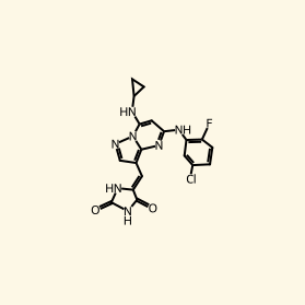 O=C1NC(=O)C(=Cc2cnn3c(NC4CC4)cc(Nc4cc(Cl)ccc4F)nc23)N1